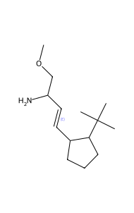 COCC(N)/C=C/C1CCCC1C(C)(C)C